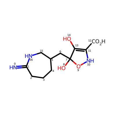 N=C1CCCC(CC2(O)ONC(C(=O)O)=C2O)CN1